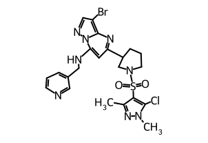 Cc1nn(C)c(Cl)c1S(=O)(=O)N1CCCC(c2cc(NCc3cccnc3)n3ncc(Br)c3n2)C1